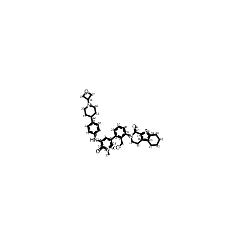 CC(=O)OCc1c(-c2cc(Nc3ccc(C4CCN(C5COC5)CC4)cc3)c(=O)n(C)c2)cccc1N1CCc2c(sc3c2CCCC3)C1=O